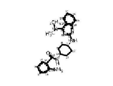 CN(C)c1nc(N[C@H]2CC[C@@H](NC(=O)c3ccccc3N)CC2)nc2ccccc12